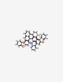 c1ccc(N(c2ccc3c(c2)oc2ccccc23)c2ccccc2-c2cccc3cccc(C4CCCCC4)c23)c(-c2ccc3c(c2)oc2ccccc23)c1